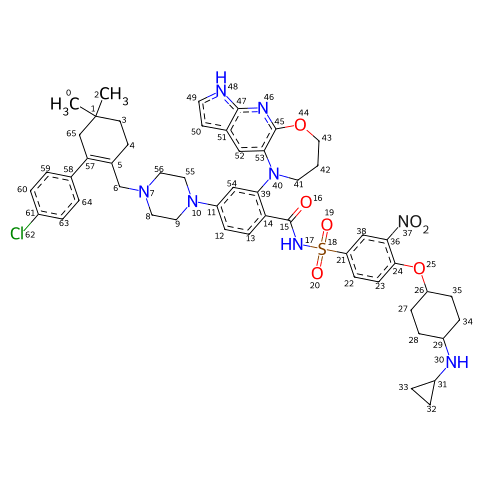 CC1(C)CCC(CN2CCN(c3ccc(C(=O)NS(=O)(=O)c4ccc(OC5CCC(NC6CC6)CC5)c([N+](=O)[O-])c4)c(N4CCCOc5nc6[nH]ccc6cc54)c3)CC2)=C(c2ccc(Cl)cc2)C1